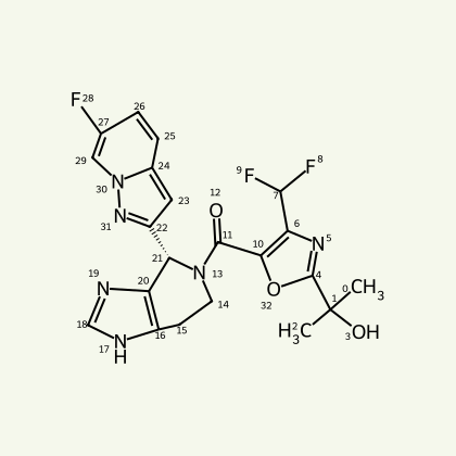 CC(C)(O)c1nc(C(F)F)c(C(=O)N2CCc3[nH]cnc3[C@@H]2c2cc3ccc(F)cn3n2)o1